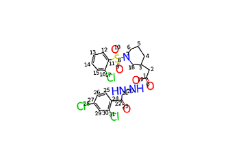 O=C(CC1CCCN(S(=O)(=O)c2ccccc2Cl)C1)ONNC(=O)c1ccc(Cl)cc1Cl